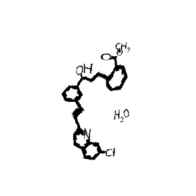 COC(=O)c1ccccc1CC[C@H](O)c1cccc(C=Cc2ccc3ccc(Cl)cc3n2)c1.O